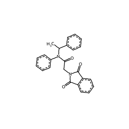 CC(c1ccccc1)N(C(=O)CN1C(=O)c2ccccc2C1=O)c1ccccc1